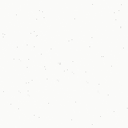 CCOc1cc2c(cc1Nc1ncc(F)c(Nc3ccccc3P(C)C)n1)-c1cnn(C)c1CCN2C